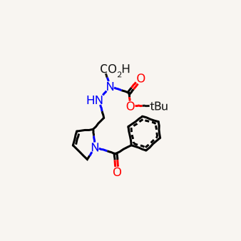 CC(C)(C)OC(=O)N(NCC1C=CCN1C(=O)c1ccccc1)C(=O)O